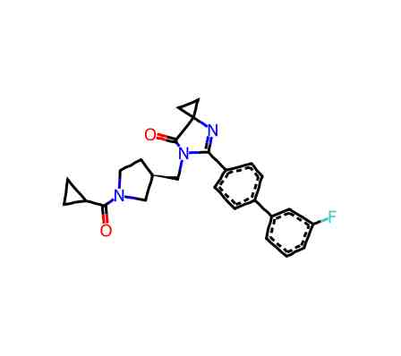 O=C(C1CC1)N1CC[C@@H](CN2C(=O)C3(CC3)N=C2c2ccc(-c3cccc(F)c3)cc2)C1